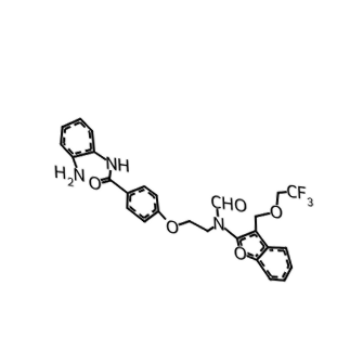 Nc1ccccc1NC(=O)c1ccc(OCCN(C=O)c2oc3ccccc3c2COCC(F)(F)F)cc1